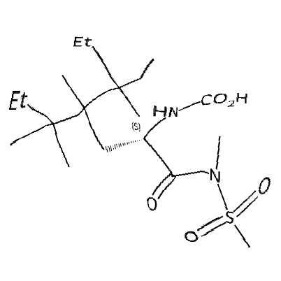 CCC(C)(C)C(C)(C[C@H](NC(=O)O)C(=O)N(C)S(C)(=O)=O)C(C)(C)CC